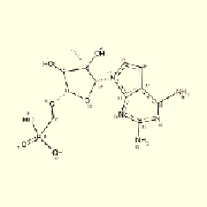 C[C@@]1(O)C(O)[C@@H](OCP(=O)(O)O)O[C@H]1n1ccc2c(N)nc(N)nc21